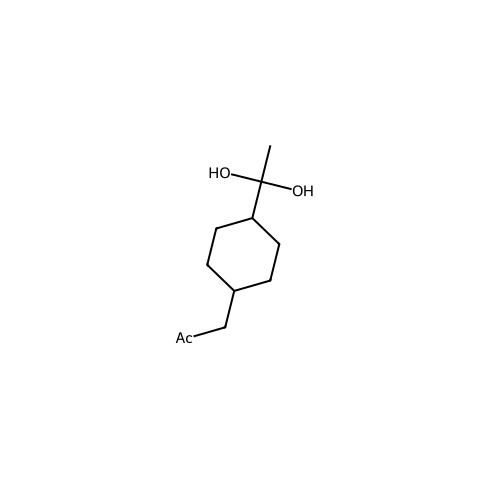 CC(=O)CC1CCC(C(C)(O)O)CC1